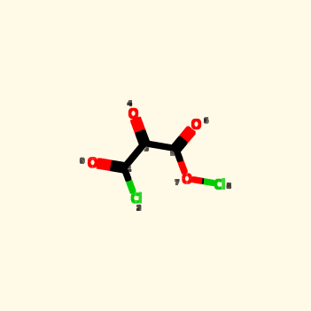 O=C(Cl)C(=O)C(=O)OCl